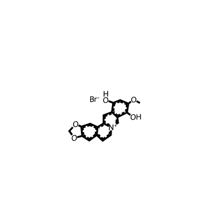 COc1cc(O)c2cc3c4cc5c(cc4cc[n+]3cc2c1O)OCO5.[Br-]